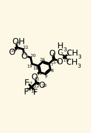 CC(C)(C)OC(=O)c1ccc(OC(=O)C(F)(F)F)c(CCOCC(=O)O)c1